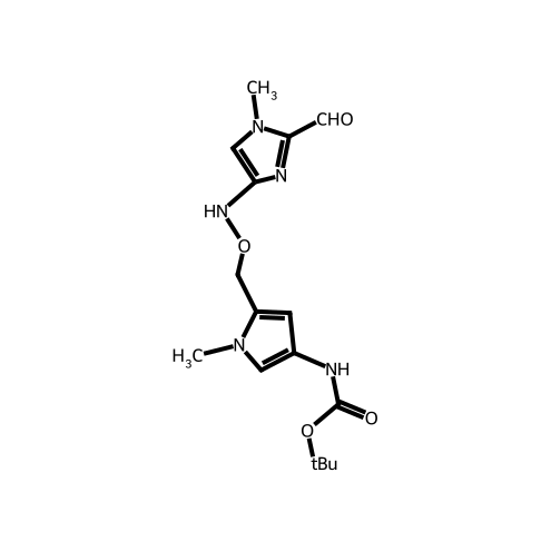 Cn1cc(NC(=O)OC(C)(C)C)cc1CONc1cn(C)c(C=O)n1